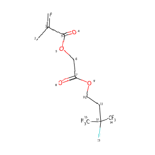 C=C(C)C(=O)OCC(=O)OCCC(F)(C(F)(F)F)C(F)(F)F